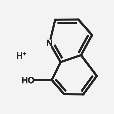 Oc1cccc2cccnc12.[H+]